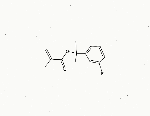 C=C(C)C(=O)OC(C)(C)c1cccc(F)c1